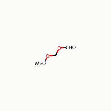 COOCOC=O